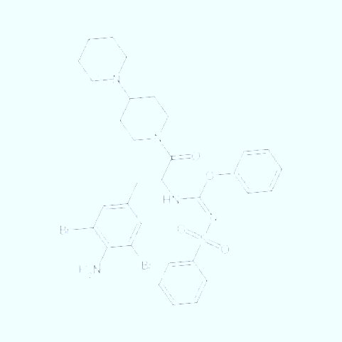 Nc1c(Br)cc(C[C@@H](N/C(=N\S(=O)(=O)c2ccccc2)Oc2ccccc2)C(=O)N2CCC(N3CCCCC3)CC2)cc1Br